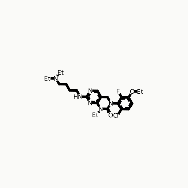 CCOc1ccc(Cl)c(N2Cc3cnc(NCCCCN(CC)CC)nc3N(CC)C2=O)c1F